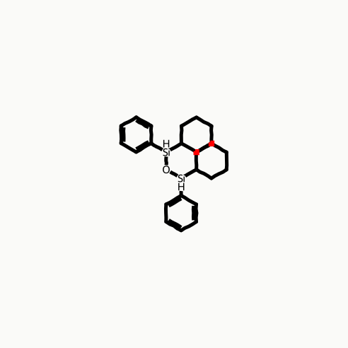 c1ccc([SiH](O[SiH](c2ccccc2)C2CCCCC2)C2CCCCC2)cc1